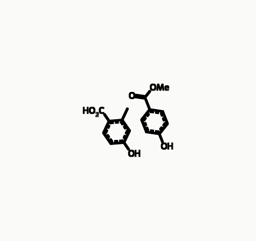 COC(=O)c1ccc(O)cc1.Cc1cc(O)ccc1C(=O)O